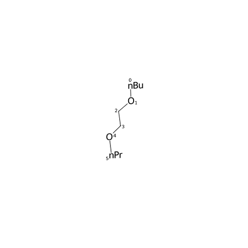 CCCCOCCOCCC